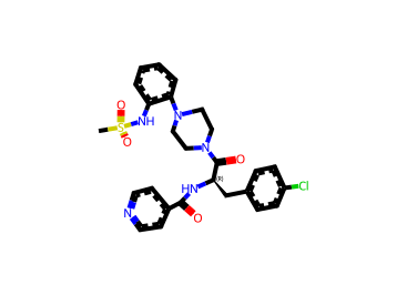 CS(=O)(=O)Nc1ccccc1N1CCN(C(=O)[C@@H](Cc2ccc(Cl)cc2)NC(=O)c2ccncc2)CC1